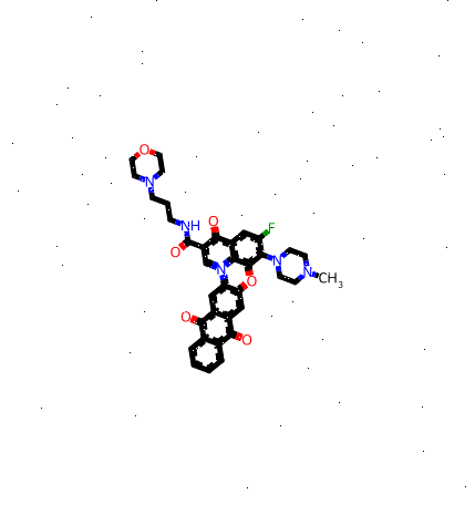 CN1CCN(c2c(F)cc3c(=O)c(C(=O)NCCCN4CCOCC4)cn4c5cc6c(=O)c7ccccc7c(=O)c6cc5oc2c34)CC1